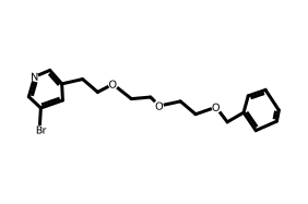 Brc1cncc(CCOCCOCCOCc2ccccc2)c1